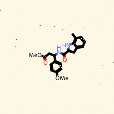 COC(=O)CC(NC(=O)C1Cc2cccc(C)c2N1)c1ccc(OC)cc1